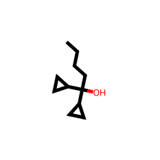 CCCCC(O)(C1CC1)C1CC1